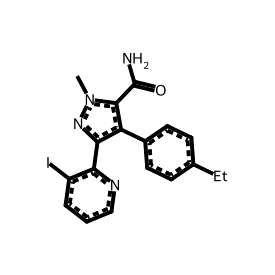 CCc1ccc(-c2c(-c3ncccc3I)nn(C)c2C(N)=O)cc1